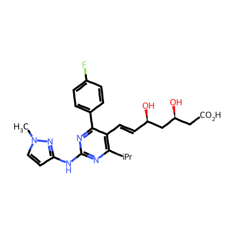 CC(C)c1nc(Nc2ccn(C)n2)nc(-c2ccc(F)cc2)c1/C=C/[C@@H](O)C[C@@H](O)CC(=O)O